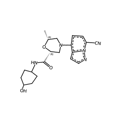 C[C@@H]1CN(c2ccc(C#N)n3nccc23)C[C@H](C(=O)NC2CCC(O)CC2)O1